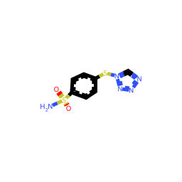 NS(=O)(=O)c1ccc(Sn2cnnn2)cc1